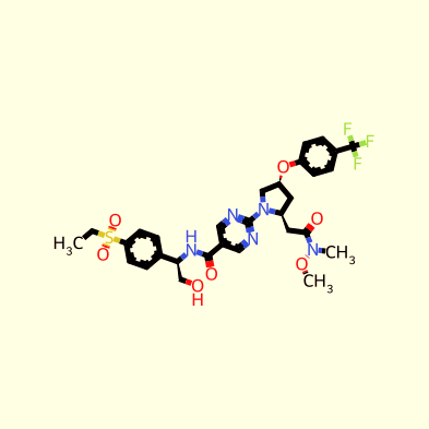 CCS(=O)(=O)c1ccc([C@H](CO)NC(=O)c2cnc(N3C[C@H](Oc4ccc(C(F)(F)F)cc4)C[C@H]3CC(=O)N(C)OC)nc2)cc1